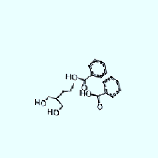 CCCC(CO)CO.O=C(O)c1ccccc1.O=C(O)c1ccccc1